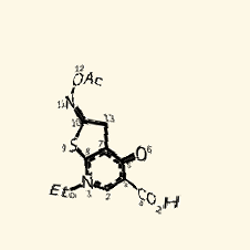 CCn1cc(C(=O)O)c(=O)c2c1SC(=NOC(C)=O)C2